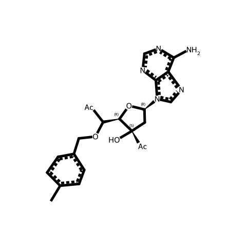 CC(=O)C(OCc1ccc(C)cc1)[C@H]1O[C@@H](n2cnc3c(N)ncnc32)C[C@@]1(O)C(C)=O